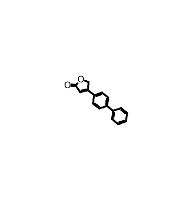 O=C1C=C(c2ccc(-c3ccccc3)cc2)CO1